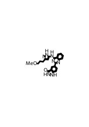 COCCCc1cc(Nc2nc(-c3ccc4[nH][nH]c(=O)c4c3)nc3ccccc23)[nH]n1